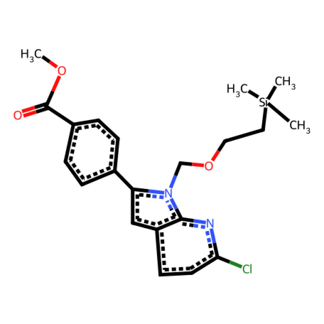 COC(=O)c1ccc(-c2cc3ccc(Cl)nc3n2COCC[Si](C)(C)C)cc1